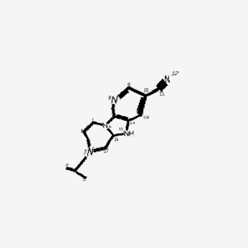 CC(C)N1CCN2c3ncc(C#N)cc3NC2C1